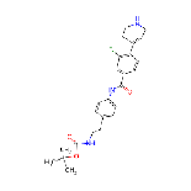 CC(C)(C)OC(=O)NCCc1ccc(NC(=O)c2ccc(C3=CCNCC3)c(F)c2)cc1